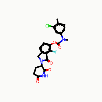 Cc1ccc(N(C)C(=O)Oc2ccc3c(c2F)C(=O)N(C2CCC(=O)NC2=O)C3)cc1Cl